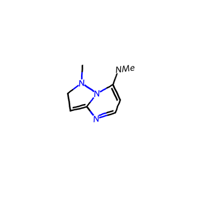 CNC1=CC=NC2=CCN(C)N21